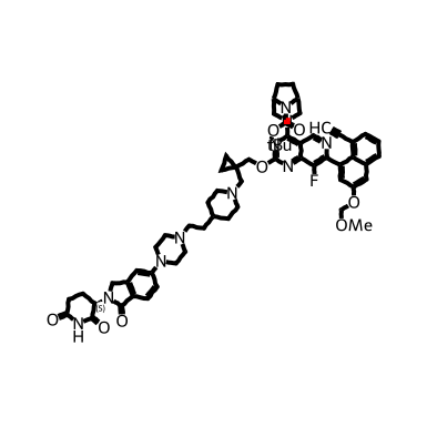 C#Cc1cccc2cc(OCOC)cc(-c3ncc4c(N5CC6CCC(C5)N6C(=O)OC(C)(C)C)nc(OCC5(CN6CCC(CCN7CCN(c8ccc9c(c8)CN([C@H]8CCC(=O)NC8=O)C9=O)CC7)CC6)CC5)nc4c3F)c12